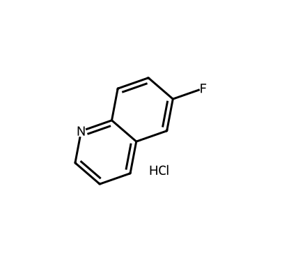 Cl.Fc1ccc2ncccc2c1